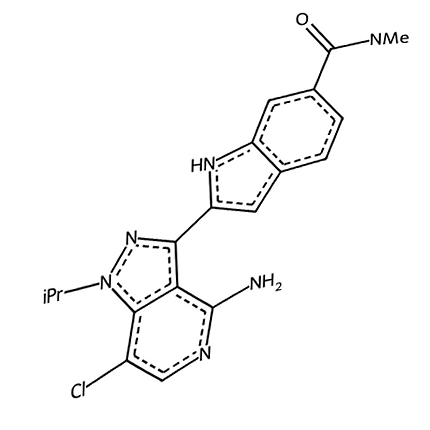 CNC(=O)c1ccc2cc(-c3nn(C(C)C)c4c(Cl)cnc(N)c34)[nH]c2c1